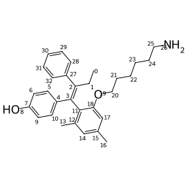 CC/C(=C(/c1ccc(O)cc1)c1c(C)cc(C)cc1OCCCCCCN)c1ccccc1